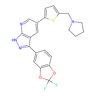 FC1(F)Oc2ccc(-c3n[nH]c4ncc(-c5ccc(CN6CCCC6)s5)cc34)cc2O1